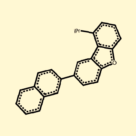 CC(C)c1cccc2oc3ccc(-c4ccc5ccccc5c4)cc3c12